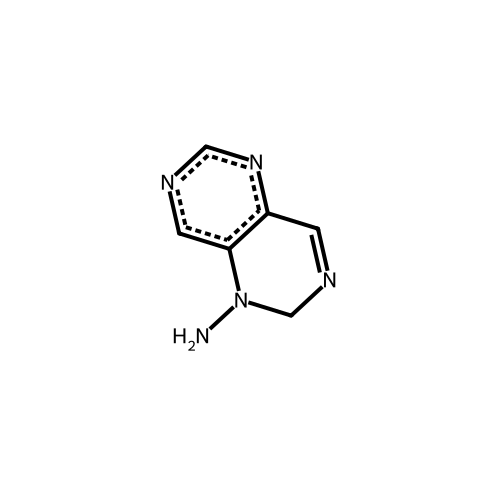 NN1CN=Cc2ncncc21